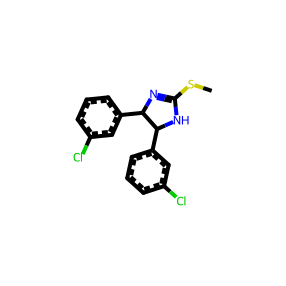 CSC1=NC(c2cccc(Cl)c2)C(c2cccc(Cl)c2)N1